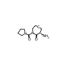 N[C@@H]1CCCCN(C(=O)N2CCCC2)C1=O